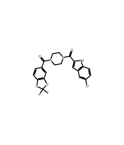 O=C(c1ccc2c(c1)OC(F)(F)O2)N1CCN(C(=O)c2cc3cc(Cl)ccc3[nH]2)CC1